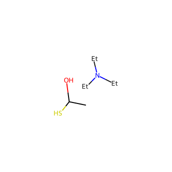 CC(O)S.CCN(CC)CC